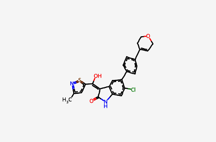 Cc1cc(C(O)=C2C(=O)Nc3cc(Cl)c(-c4ccc(C5=CCOCC5)cc4)cc32)sn1